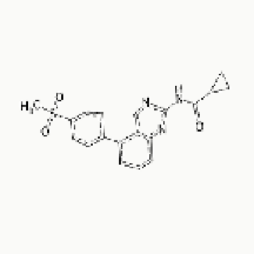 CS(=O)(=O)c1ccc(-c2cccc3nc(NC(=O)C4CC4)ncc23)cc1